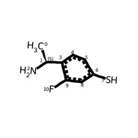 C[C@H](N)c1ccc(S)cc1F